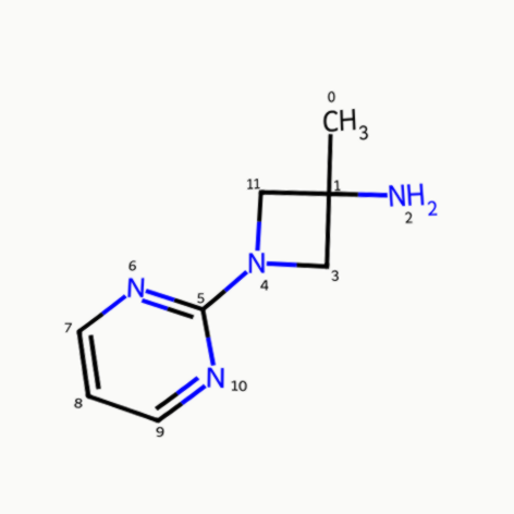 CC1(N)CN(c2ncccn2)C1